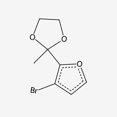 CC1(c2occc2Br)OCCO1